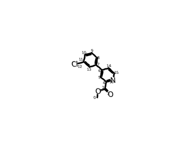 COC(=O)c1cc(-c2cccc(Cl)c2)ccn1